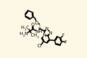 CC(C)(N)C(=O)N[C@H](COCc1ccccc1)c1nnc2c(-c3ccc(F)c(F)c3)cc(Cl)cn12